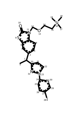 CC(c1ccc2c(c1)sc(=O)n2COCC[Si](C)(C)C)c1ccn(-c2ccc(I)cn2)n1